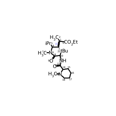 CCOC(=O)/C(C)=C/C(C(C)C)N(C)C(=O)C(NC(=O)C1CCCCN1C)C(C)(C)C